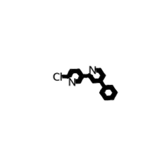 Clc1ccc(-c2cc(-c3ccccc3)ccn2)cn1